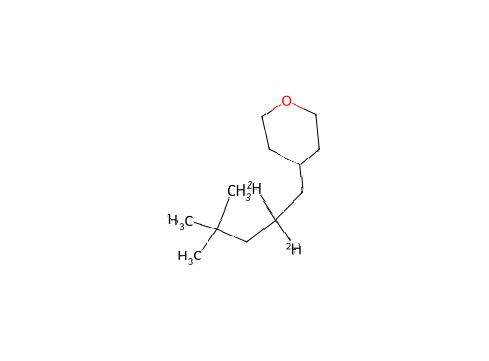 [2H]C([2H])(CC1CCOCC1)CC(C)(C)C